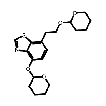 c1nc2c(OC3CCCCO3)ccc(CCOC3CCCCO3)c2s1